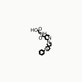 O=C(O)CNC(=O)c1ccnc(N2CCC3(CCN(c4ccccc4)C3)C2)c1